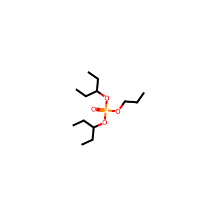 CCCOP(=O)(OC(CC)CC)OC(CC)CC